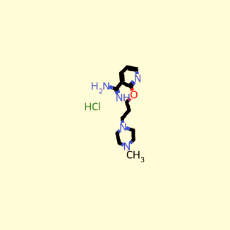 CN1CCN(CCCOc2ncccc2C(=N)N)CC1.Cl